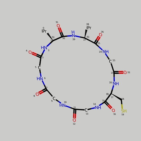 CC(C)[C@@H]1NC(=O)CNC(=O)CNC(=O)CNC(=O)[C@H](CS)NC(=O)CNC(=O)[C@H](C(C)C)NC1=O